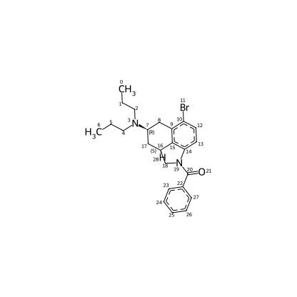 CCCN(CCC)[C@H]1Cc2c(Br)ccc3c2[C@H](C1)CN3C(=O)c1ccccc1